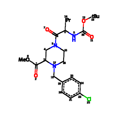 COC(=O)C1CN(C(=O)C(NC(=O)OC(C)(C)C)C(C)C)CCN1Cc1ccc(Cl)cc1